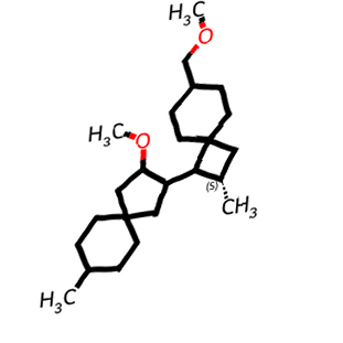 COCC1CCC2(CC1)C[C@H](C)C2C1CC2(CCC(C)CC2)CC1OC